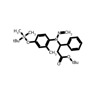 C=NN(c1ccc(O[Si](C)(C)C(C)(C)C)cc1C)C(CC(=O)OC(C)(C)C)c1ccccc1